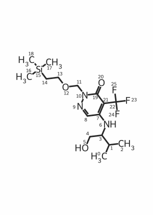 CC(C)C(CO)Nc1cnn(COCC[Si](C)(C)C)c(=O)c1C(F)(F)F